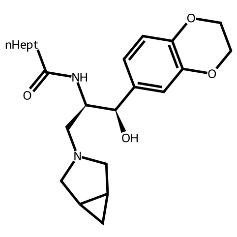 CCCCCCCC(=O)N[C@H](CN1CC2CC2C1)[C@H](O)c1ccc2c(c1)OCCO2